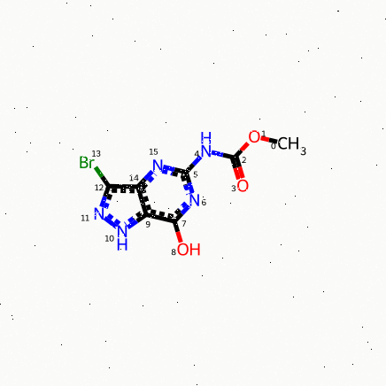 COC(=O)Nc1nc(O)c2[nH]nc(Br)c2n1